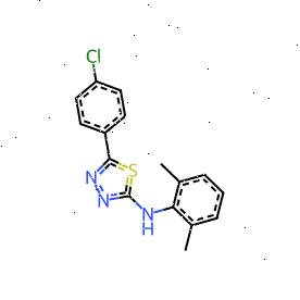 Cc1cccc(C)c1Nc1nnc(-c2ccc(Cl)cc2)s1